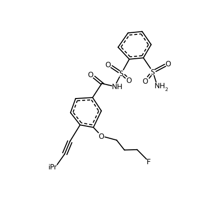 CC(C)C#Cc1ccc(C(=O)NS(=O)(=O)c2ccccc2S(N)(=O)=O)cc1OCCCF